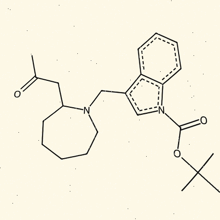 CC(=O)CC1CCCCCN1Cc1cn(C(=O)OC(C)(C)C)c2ccccc12